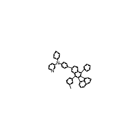 Cc1cccc(-c2c3c(c(-c4ccccc4)c4ccc(-c5ccc(N(c6ccccc6)c6cccnc6)cc5)cc24)-c2cccc4cccc-3c24)c1